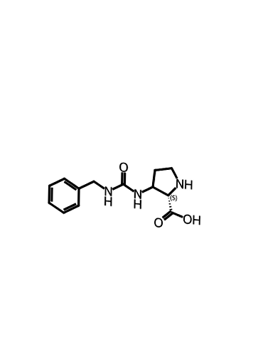 O=C(NCc1ccccc1)NC1CCN[C@@H]1C(=O)O